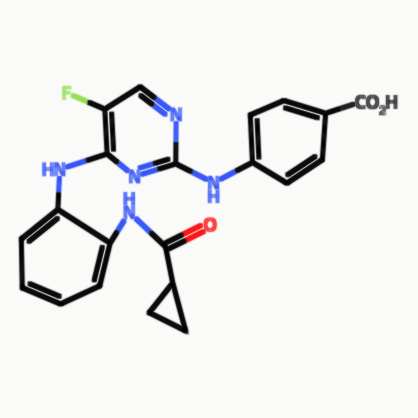 O=C(O)c1ccc(Nc2ncc(F)c(Nc3ccccc3NC(=O)C3CC3)n2)cc1